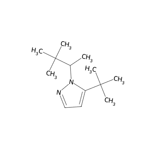 CC(n1nccc1C(C)(C)C)C(C)(C)C